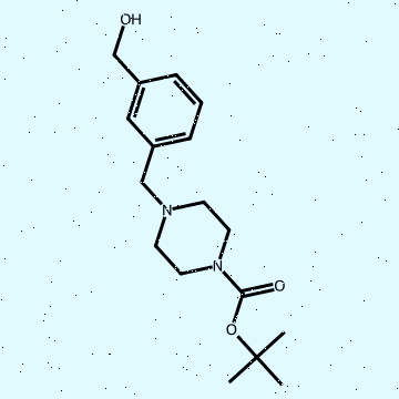 CC(C)(C)OC(=O)N1CCN(Cc2cccc(CO)c2)CC1